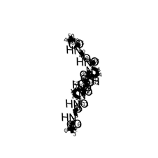 CC(C)(C)OC(=O)NCCONC(=O)[C@@H]1CC[C@@H]2CN1C(=O)N2OS(=O)(=O)ON1C(=O)N2C[C@H]1CC[C@H]2C(=O)NOCCNC(=O)OC(C)(C)C